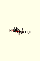 N=CNCCC[C@H](N)C(=O)NCC(=O)NCCCCNC(=O)CCC(=O)O